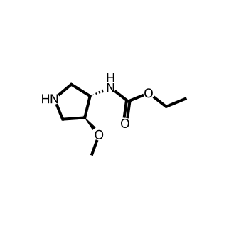 CCOC(=O)N[C@H]1CNC[C@@H]1OC